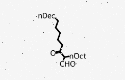 CCCCCCCCCCCCCCCC(=O)C([C]=O)CCCCCCCC